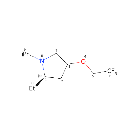 CC[C@@H]1CC(OCC(F)(F)F)CN1C(C)C